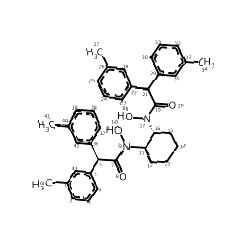 Cc1cccc(C(C(=O)N(O)C2CCCC[C@H]2N(O)C(=O)C(c2cccc(C)c2)c2cccc(C)c2)c2cccc(C)c2)c1